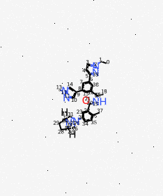 CCn1ccc(-c2cc(-c3cnn(C)c3)cc([C@@H](C)NC(=O)c3cc(N4C[C@H]5CC[C@@H](C4)N5C)ccc3C)c2)n1